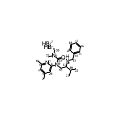 Br.Br.Cc1cc(C)nc(N(CC(NCc2ccccc2)C(C)C)C(=O)N(C)C)c1